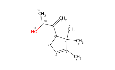 C=C(C1CC=C(C)C1(C)C)[C@@H](C)O